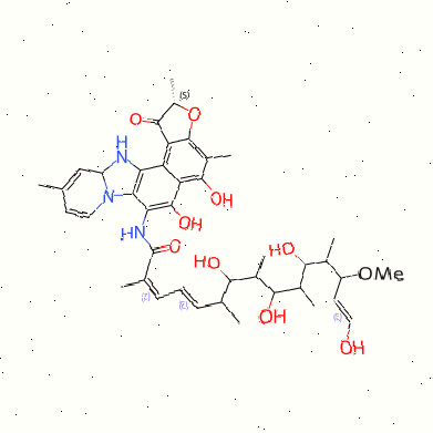 COC(/C=C/O)C(C)C(O)C(C)C(O)C(C)C(O)C(C)/C=C/C=C(/C)C(=O)Nc1c2c(c3c4c(c(C)c(O)c3c1O)O[C@@H](C)C4=O)NC1C=C(C)C=CN21